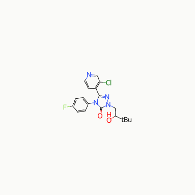 CC(C)(C)C(O)Cn1nc(-c2ccncc2Cl)n(-c2ccc(F)cc2)c1=O